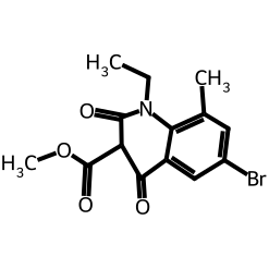 CCN1C(=O)C(C(=O)OC)C(=O)c2cc(Br)cc(C)c21